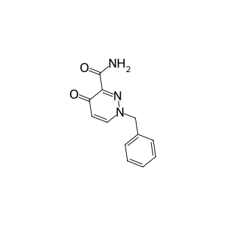 NC(=O)c1nn(Cc2ccccc2)ccc1=O